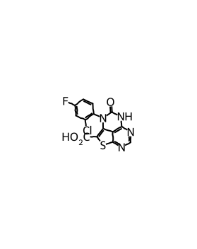 O=C(O)c1sc2ncnc3c2c1N(c1ccc(F)cc1Cl)C(=O)N3